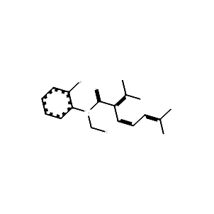 CC(C)=C/C=C\C(C(=O)N(CC(C)C)c1ccccc1C(C)C)=C(C)C